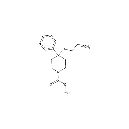 C=CCOC1(c2cccnc2)CCN(C(=O)OC(C)(C)C)CC1